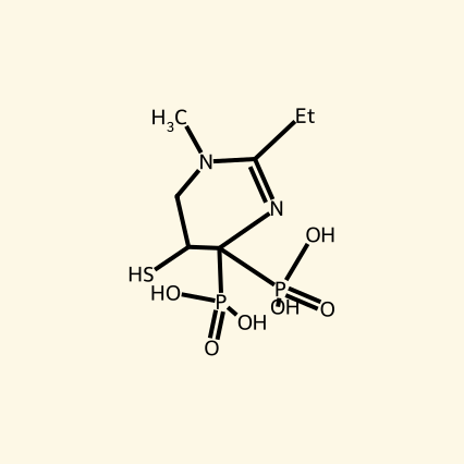 CCC1=NC(P(=O)(O)O)(P(=O)(O)O)C(S)CN1C